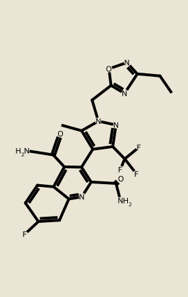 CCc1noc(Cn2nc(C(F)(F)F)c(-c3c(C(N)=O)nc4cc(F)ccc4c3C(N)=O)c2C)n1